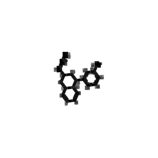 [N-]=[N+]=NC1CC2C=CC=CC2C(c2cccc(Br)c2)C1